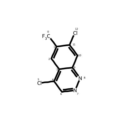 FC(F)(F)c1cc2c(Cl)cnnc2cc1Cl